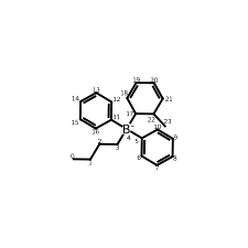 CCCC[B-](c1ccccc1)(c1ccccc1)C1C=CC=CC1C